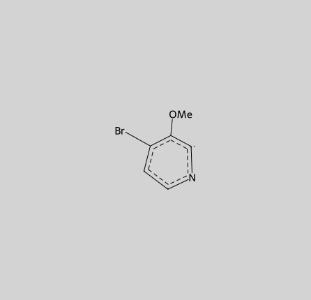 COc1[c]nccc1Br